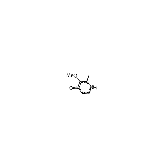 COc1c(C)[nH]ccc1=O